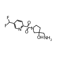 NCC1(O)CCN(S(=O)(=O)c2ccc(C(F)F)cn2)C1